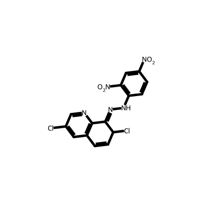 O=[N+]([O-])c1ccc(NN=C2c3ncc(Cl)cc3C=CC2Cl)c([N+](=O)[O-])c1